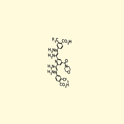 N/C(=C\N(N)c1ccc(C(=O)O)c(C(F)(F)F)c1)c1cc(C(=O)N2CCOCC2)cc(/C(N)=C/N(N)c2ccc(C(=O)O)c(C(F)(F)F)c2)n1